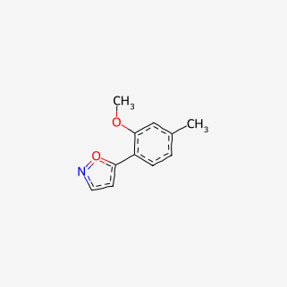 COc1cc(C)ccc1-c1ccno1